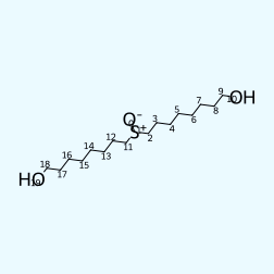 [O-][S+](CCCCCCCCO)CCCCCCCCO